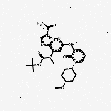 CO[C@H]1CC[C@H](n2cccc(Nc3cc(N(C)C(=O)OC(C)(C)C)c4ncc(C(N)=O)n4n3)c2=O)CC1